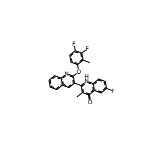 Cc1c(Oc2nc3ccccc3cc2-c2[nH]c3ccc(F)cc3c(=O)c2C)ccc(F)c1F